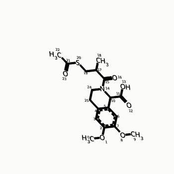 COc1cc2c(cc1OC)C(C(=O)O)N(C(=O)C(C)CSC(C)=O)CC2